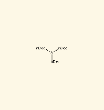 CCCCCCCCC[CH2][Al]([CH2]CCCCCCCCC)[CH2]CCCCCCCCC